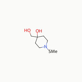 CSN1CCC(O)(CO)CC1